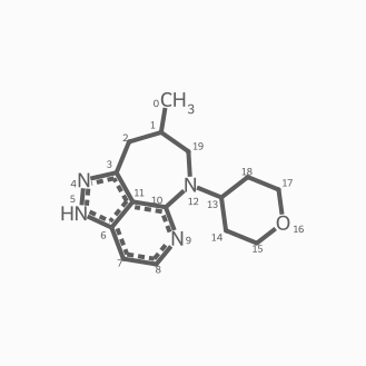 CC1Cc2n[nH]c3ccnc(c23)N(C2CCOCC2)C1